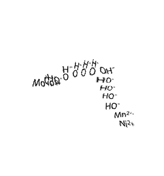 [Co+2].[Mn+2].[Mo+4].[Ni+2].[OH-].[OH-].[OH-].[OH-].[OH-].[OH-].[OH-].[OH-].[OH-].[OH-]